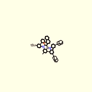 Cc1cc2c3c(c1)N(c1ccc(C(C)(C)C)cc1-c1ccccc1)c1sc4c(ccc5ccccc54)c1B3n1c3ccc(C45CC6CC(CC(C6)C4)C5)cc3c3cc(C45CC6CC(CC(C6)C4)C5)cc-2c31